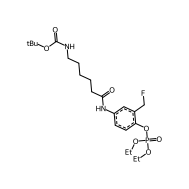 CCOP(=O)(OCC)Oc1ccc(NC(=O)CCCCCNC(=O)OC(C)(C)C)cc1CF